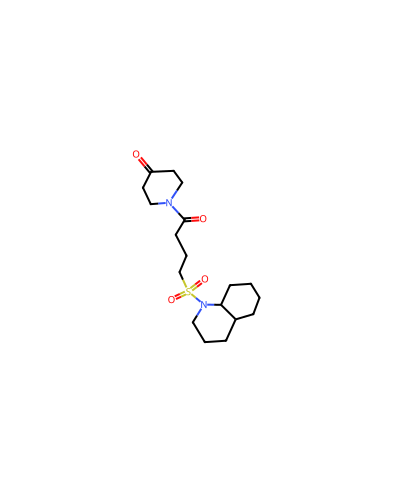 O=C1CCN(C(=O)CCCS(=O)(=O)N2CCCC3CCCCC32)CC1